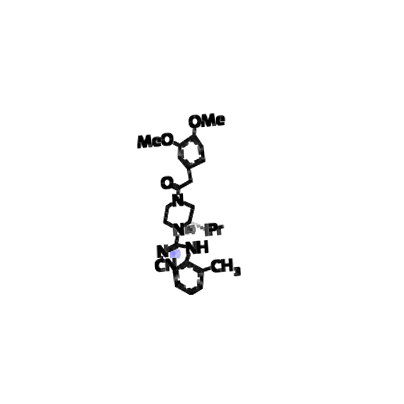 COc1ccc(CC(=O)N2CCN(/C(=N/C#N)Nc3ccccc3C)[C@@H](C(C)C)C2)cc1OC